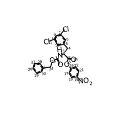 O=C(N[C@@H](Cc1cc(Cl)cc(Cl)c1)C(=O)Oc1ccc([N+](=O)[O-])cc1)OCc1ccccc1